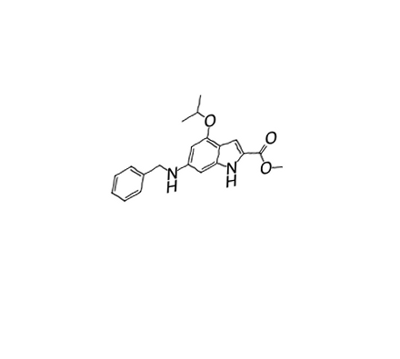 COC(=O)c1cc2c(OC(C)C)cc(NCc3ccccc3)cc2[nH]1